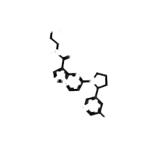 CCCNC(=O)c1cnn2ccc(N3CCCC3c3cncc(F)c3)nc12